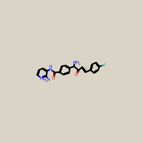 Nc1ncccc1NC(=O)c1ccc(C(N)C(=O)/C=C/c2ccc(F)cc2)cc1